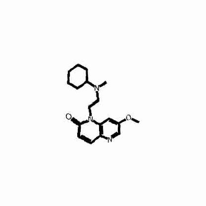 COc1cnc2ccc(=O)n(CCN(C)C3CCCCC3)c2c1